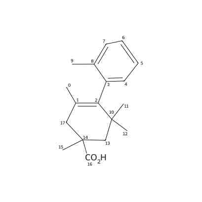 CC1=C(c2ccccc2C)C(C)(C)CC(C)(C(=O)O)C1